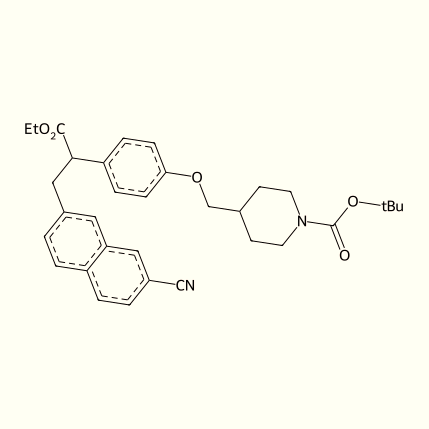 CCOC(=O)C(Cc1ccc2ccc(C#N)cc2c1)c1ccc(OCC2CCN(C(=O)OC(C)(C)C)CC2)cc1